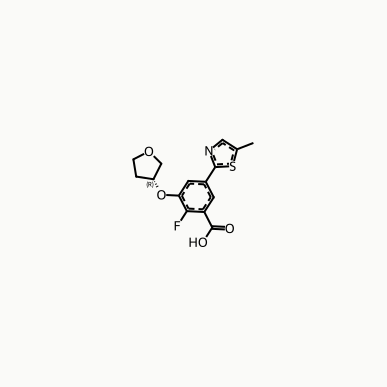 Cc1cnc(-c2cc(O[C@@H]3CCOC3)c(F)c(C(=O)O)c2)s1